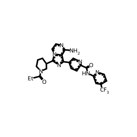 CCC(=O)N1CCCC(c2nc(-c3ccc(C(=O)Nc4cc(C(F)(F)F)ccn4)nc3)c3c(N)nccn23)C1